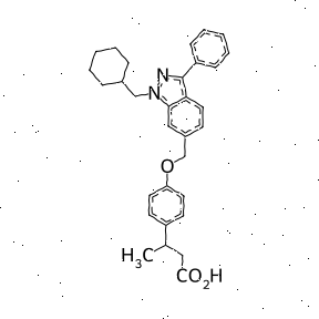 CC(CC(=O)O)c1ccc(OCc2ccc3c(-c4ccccc4)nn(CC4CCCCC4)c3c2)cc1